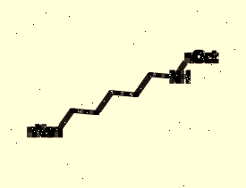 CCCCCCCCCCCCCCNCCCCCCCC